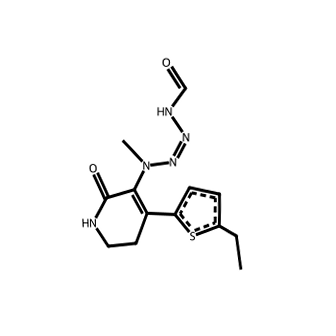 CCc1ccc(C2=C(N(C)/N=N\NC=O)C(=O)NCC2)s1